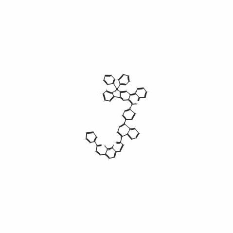 c1ccc(-c2ccc3ccc4ccc(-c5ccc(-c6ccc(-c7nc8ccccc8c8cc9c(cc78)-c7ccccc7C9(c7ccccc7)c7ccccc7)cc6)c6ccccc56)nc4c3n2)cc1